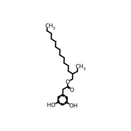 CCCCCCCCCCCCC(CC)COC(=O)Cc1cc(O)cc(O)c1